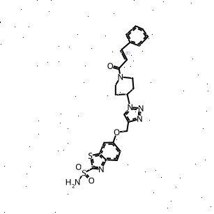 NS(=O)(=O)c1nc2ccc(OCc3cn(C4CCN(C(=O)/C=C/c5ccccc5)CC4)nn3)cc2s1